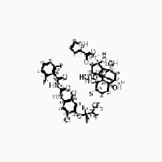 CC(C)[C@@]1(O)[C@@H](OC(=O)c2ccc[nH]2)[C@@]2(O)[C@@]3(C)C[C@]4(O)O[C@@]5([C@H](O)[C@@H](C)CC[C@]35O)[C@@]2(O)[C@@]14C.O=C(NC(=O)c1c(F)cccc1F)Nc1cc(Cl)c(OC(F)(F)C(F)C(F)(F)F)cc1Cl